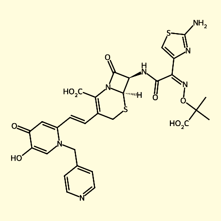 CC(C)(O/N=C(\C(=O)N[C@@H]1C(=O)N2C(C(=O)O)=C(C=Cc3cc(=O)c(O)cn3Cc3ccncc3)CS[C@H]12)c1csc(N)n1)C(=O)O